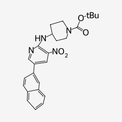 CC(C)(C)OC(=O)N1CCC(Nc2ncc(-c3ccc4ccccc4c3)cc2[N+](=O)[O-])CC1